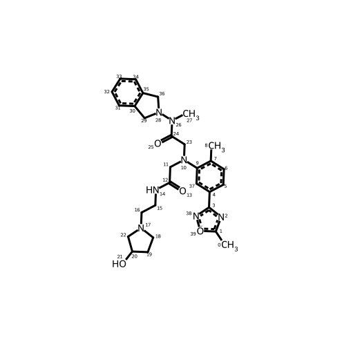 Cc1nc(-c2ccc(C)c(N(CC(=O)NCCN3CCC(O)C3)CC(=O)N(C)N3Cc4ccccc4C3)c2)no1